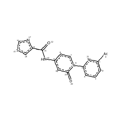 CC(=O)c1cccc(-n2ccc(NC(=O)c3cscn3)cc2=O)n1